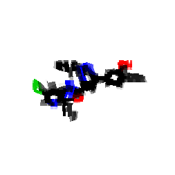 COc1ccc(-c2cc(C(=O)Nc3cc(Cl)cnc3C)n(C)n2)cc1O